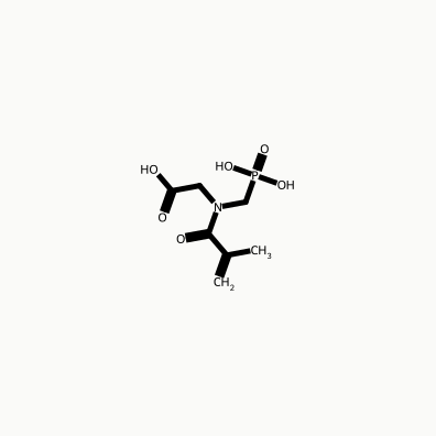 C=C(C)C(=O)N(CC(=O)O)CP(=O)(O)O